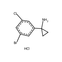 Cl.NC1(c2cc(Cl)cc(Br)c2)CC1